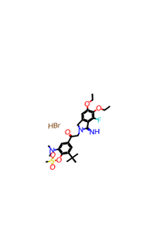 Br.CCOc1cc2c(c(F)c1OCC)C(=N)N(CC(=O)c1cc(N(C)C)c(OS(C)(=O)=O)c(C(C)(C)C)c1)C2